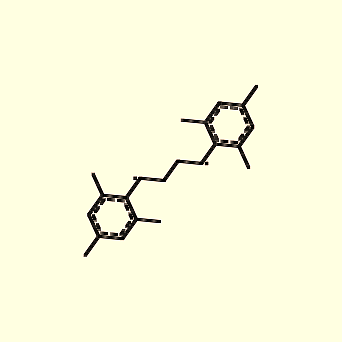 Cc1cc(C)c([CH]CC[CH]c2c(C)cc(C)cc2C)c(C)c1